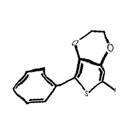 Ic1sc(-c2ccccc2)c2c1OCCO2